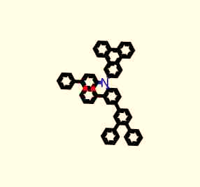 c1ccc(-c2ccc(N(c3ccc4c5ccccc5c5ccccc5c4c3)c3ccc(-c4ccc(-c5ccccc5)c(-c5ccccc5)c4)cc3-c3ccccc3)cc2)cc1